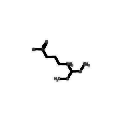 COC(OC)[SiH2]CCC[N+](=O)[O-]